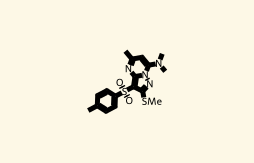 CSc1nn2c(N(C)C)cc(C)nc2c1S(=O)(=O)c1ccc(C)cc1